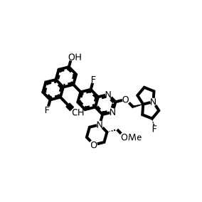 C#Cc1c(F)ccc2cc(O)cc(-c3ccc4c(N5CCOC[C@H]5COC)nc(OC[C@@]56CCCN5C[C@H](F)C6)nc4c3F)c12